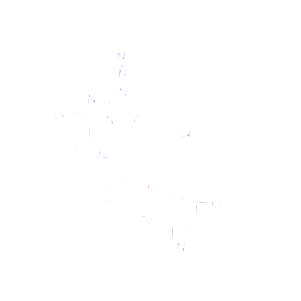 C[Si](C)(C)CCOCn1c(N=[N+]=[N-])nc(Br)c1C(=O)NCc1ccc(Br)c(Oc2cc(Cl)cc(C#N)c2)c1F